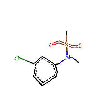 CN(c1cccc(Cl)c1)S(C)(=O)=O